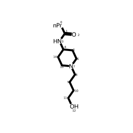 CCCC(=O)NC1CCN(CCCCO)CC1